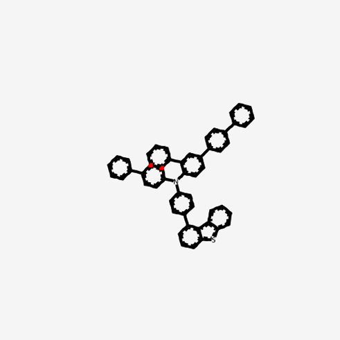 c1ccc(-c2ccc(-c3ccc(N(c4ccc(-c5ccccc5)cc4)c4ccc(-c5cccc6sc7ccccc7c56)cc4)c(-c4ccccc4)c3)cc2)cc1